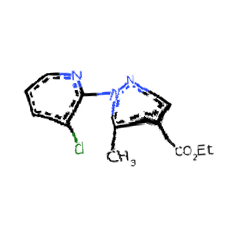 CCOC(=O)c1cnn(-c2ncccc2Cl)c1C